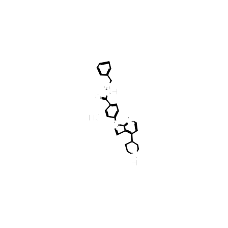 Cl.O=C(NOCc1ccccc1)c1ccc(-n2ccc3c(C4CCNCC4)ccnc32)cc1